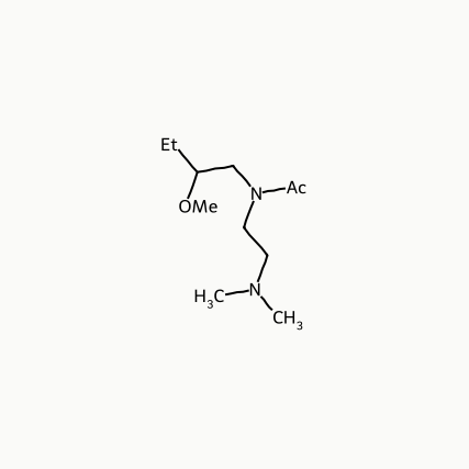 CCC(CN(CCN(C)C)C(C)=O)OC